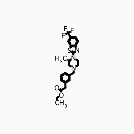 CCOC(=O)Cc1cccc(CN2CCN(c3nc4ccc(C(F)(F)F)cc4s3)[C@@H](C)C2)c1